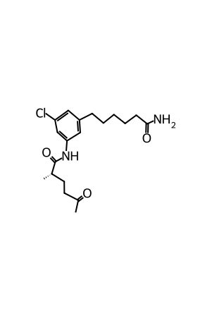 CC(=O)CC[C@H](C)C(=O)Nc1cc(Cl)cc(CCCCCC(N)=O)c1